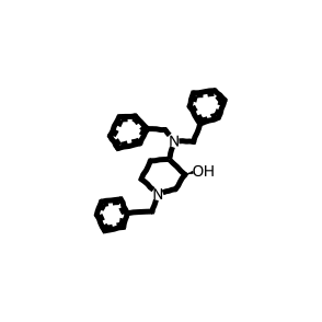 O[C@@H]1CN(Cc2ccccc2)CCC1N(Cc1ccccc1)Cc1ccccc1